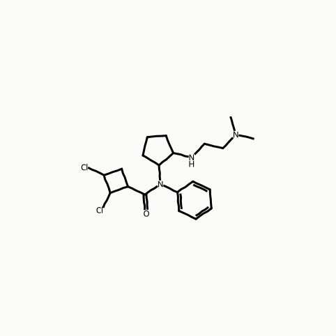 CN(C)CCNC1CCCC1N(C(=O)C1CC(Cl)C1Cl)c1ccccc1